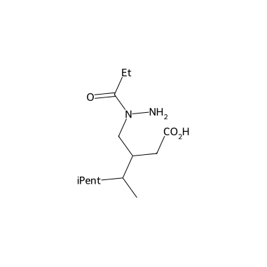 CCCC(C)C(C)C(CC(=O)O)CN(N)C(=O)CC